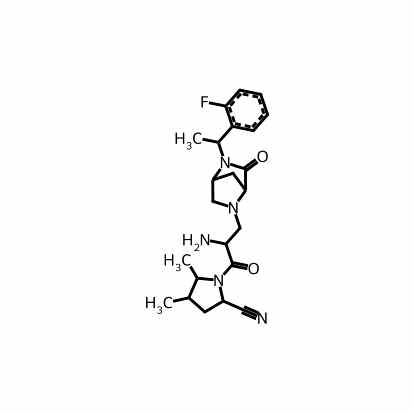 CC1CC(C#N)N(C(=O)C(N)CN2CC3CC2C(=O)N3C(C)c2ccccc2F)C1C